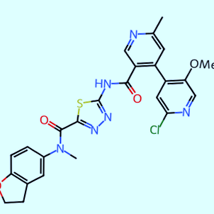 COc1cnc(Cl)cc1-c1cc(C)ncc1C(=O)Nc1nnc(C(=O)N(C)c2ccc3c(c2)CCO3)s1